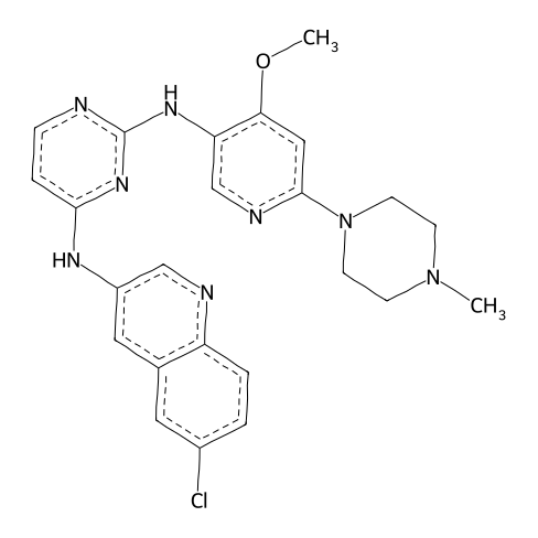 COc1cc(N2CCN(C)CC2)ncc1Nc1nccc(Nc2cnc3ccc(Cl)cc3c2)n1